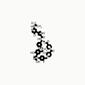 CC(C)Nc1cc(-c2c[nH]c(C(=O)N[C@H](COC(=O)C3CCN(C(=O)C4CCN(Cc5ccc(-n6c(O)nnc6-c6cc(C(C)C)c(O)cc6O)cc5F)CC4)CC3)c3cccc(Cl)c3)c2)c(Cl)cn1